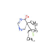 CCC(C)(F)C1(C)C=NC=NC1=O